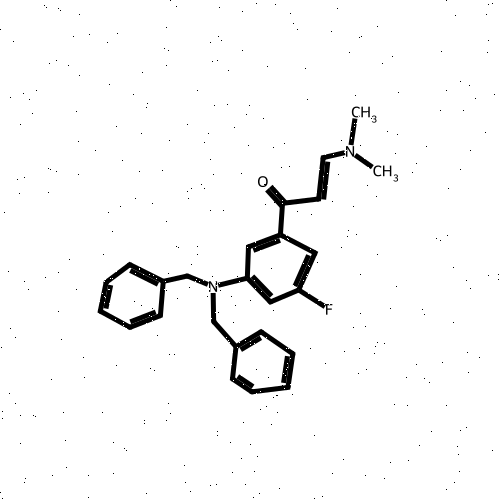 CN(C)/C=C/C(=O)c1cc(F)cc(N(Cc2ccccc2)Cc2ccccc2)c1